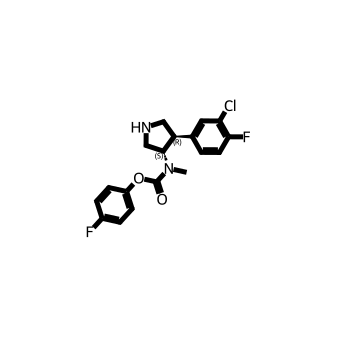 CN(C(=O)Oc1ccc(F)cc1)[C@@H]1CNC[C@H]1c1ccc(F)c(Cl)c1